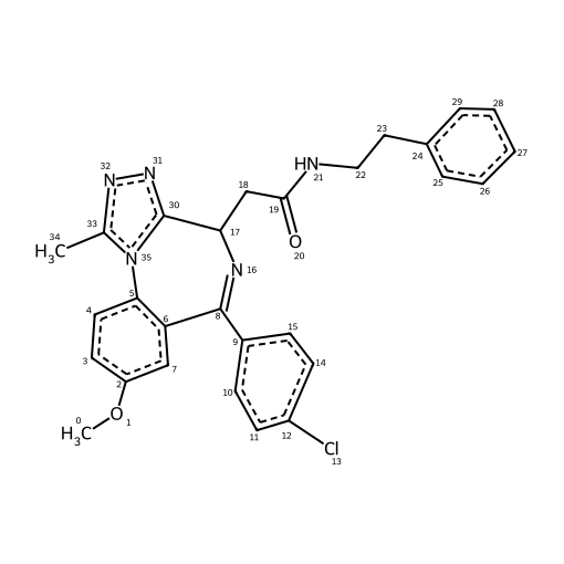 COc1ccc2c(c1)C(c1ccc(Cl)cc1)=NC(CC(=O)NCCc1ccccc1)c1nnc(C)n1-2